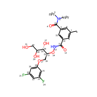 CCCN(CCC)C(=O)c1cc(C)cc(C(=O)NO[C@@H](COc2cc(F)cc(F)c2)[C@@H](O)C(O)CO)c1